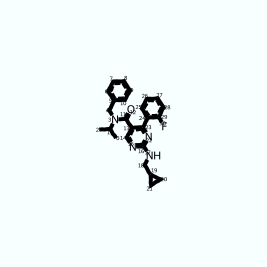 CC(C)N(Cc1ccccc1)C(=O)c1cnc(NCC2CC2)nc1-c1ccccc1F